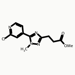 COC(=O)CCc1nc(-c2ccnc(Cl)c2)n(C)n1